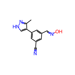 Cc1n[nH]cc1-c1cc(C#N)cc(C=NO)c1